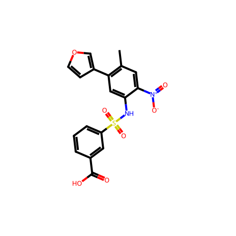 Cc1cc([N+](=O)[O-])c(NS(=O)(=O)c2cccc(C(=O)O)c2)cc1-c1ccoc1